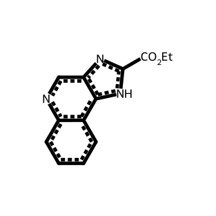 CCOC(=O)c1nc2cnc3ccccc3c2[nH]1